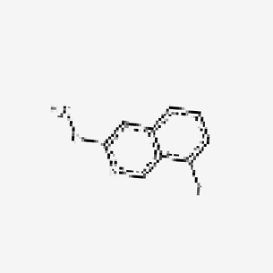 COc1cc2cccc(F)c2cn1